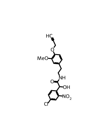 C#CCOc1ccc(CCNC(=O)C(O)c2ccc(Cl)cc2[N+](=O)[O-])cc1OC